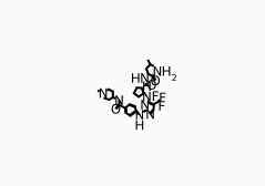 CC(C)CC(NC(=O)[C@H]1CCC[C@H]1Nc1nc(Nc2ccc(C(=O)N(C)C3CCN(C)CC3)cc2)ncc1C(F)(F)F)C(N)=O